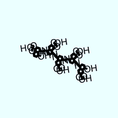 O=S(=O)(O)c1ccc2c(N=Nc3ccc(N=Nc4ccc(N=Nc5ccc(N=Nc6ccc(S(=O)(=O)O)c7cccc(O)c67)c6ccc(S(=O)(=O)O)cc56)c5ccc(S(=O)(=O)O)cc45)c4ccc(S(=O)(=O)O)cc34)ccc(O)c2c1